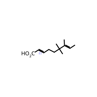 CC=C(C)C(C)(C)CC/C=C/C(=O)O